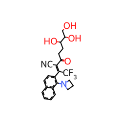 N#C/C(C(=O)CCC(O)C(O)CO)=C(\c1ccc2ccccc2c1N1CCC1)C(F)(F)F